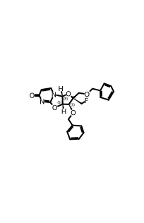 O=c1ccn2c(n1)O[C@@H]1[C@H]2O[C@](CF)(COCc2ccccc2)[C@H]1OCc1ccccc1